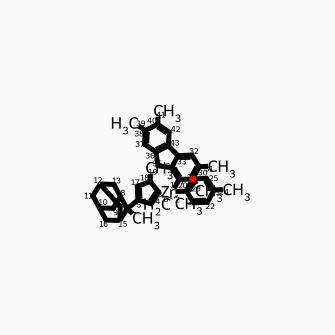 [CH2]=[Zr]([CH3])([C]1=CC(C2(C)C3CC4CC(C3)CC2C4)=CC1C)([c]1ccc(C)cc1)[c]1c(C)c(C)cc2c1Cc1cc(C)c(C)cc1-2